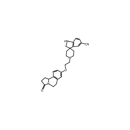 N#Cc1ccc2c(c1)C1(CCN(CCOc3ccc4c(c3)CCN3C(=O)CCC43)CC1)CN2